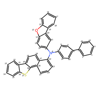 c1ccc(-c2ccc(N(c3ccc4oc5ccccc5c4c3)c3cccc4c3ccc3c5ccccc5sc43)cc2)cc1